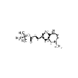 CN1CCNc2ncc(/C=C/C(=O)OC(C)(C)C)cc2C1